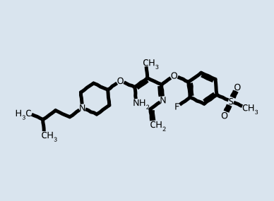 C=C/N=C(Oc1ccc(S(C)(=O)=O)cc1F)\C(C)=C(/N)OC1CCN(CCC(C)C)CC1